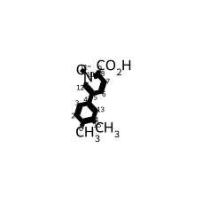 Cc1ccc(-c2ccc(C(=O)O)[n+]([O-])c2)cc1C